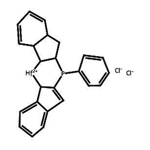 C1=CC2CC3[CH]([Hf+2][CH]4C(=Cc5ccccc54)P3c3ccccc3)C2C=C1.[Cl-].[Cl-]